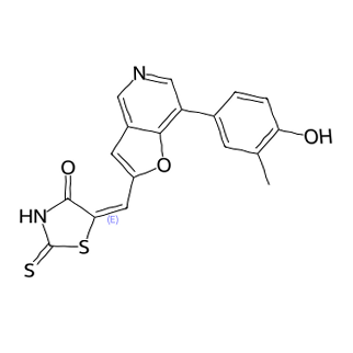 Cc1cc(-c2cncc3cc(/C=C4/SC(=S)NC4=O)oc23)ccc1O